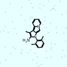 Cc1cccc(C)c1-n1c(N)c(C)c2c1cn1ccccc21